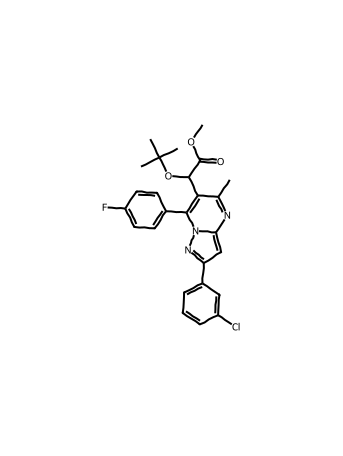 COC(=O)C(OC(C)(C)C)c1c(C)nc2cc(-c3cccc(Cl)c3)nn2c1-c1ccc(F)cc1